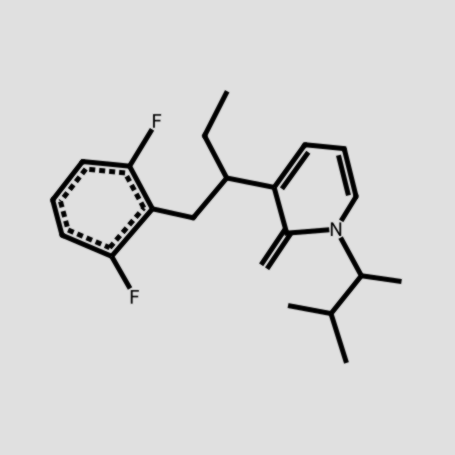 C=C1C(C(CC)Cc2c(F)cccc2F)=CC=CN1C(C)C(C)C